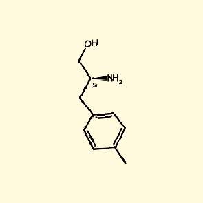 Cc1ccc(C[C@H](N)CO)cc1